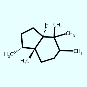 CC1CC[C@]2(C)[C@H](C)CC[C@H]2C1(C)C